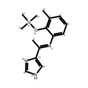 CC(=Nc1cccc(C)c1O[Si](C)(C)C)c1c[nH]cn1